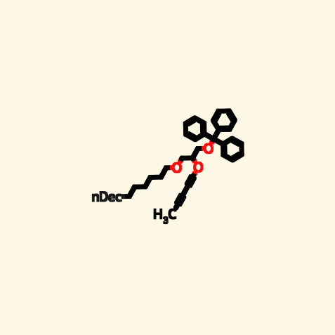 CC#CC#COC(COCCCCCCCCCCCCCCCC)COC(c1ccccc1)(c1ccccc1)c1ccccc1